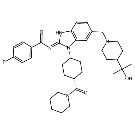 CC(C)(O)C1CCN(Cc2ccc3[nH]/c(=N\C(=O)c4ccc(F)cc4)n([C@H]4CC[C@@H](C(=O)N5CCCCC5)CC4)c3c2)CC1